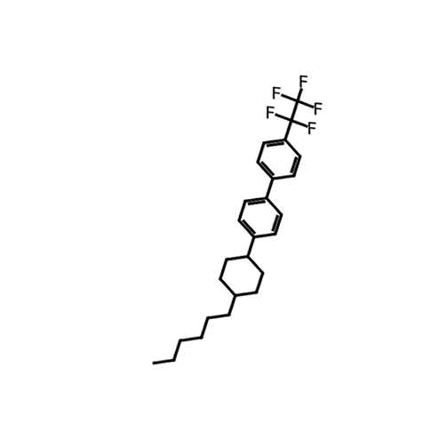 CCCCCCC1CCC(c2ccc(-c3ccc(C(F)(F)C(F)(F)F)cc3)cc2)CC1